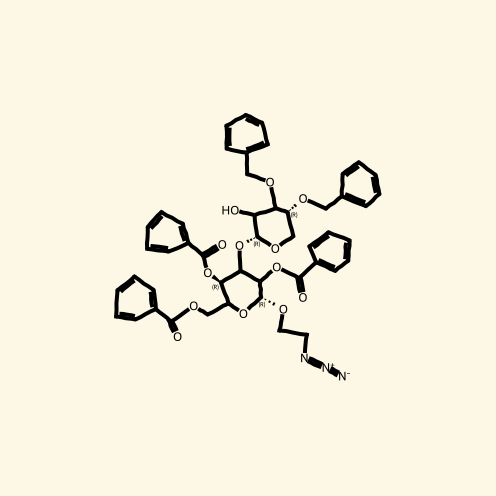 [N-]=[N+]=NCCO[C@@H]1OC(COC(=O)c2ccccc2)[C@@H](OC(=O)c2ccccc2)C(O[C@H]2OC[C@@H](OCc3ccccc3)C(OCc3ccccc3)C2O)C1OC(=O)c1ccccc1